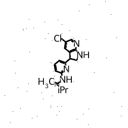 CC(C)[C@@H](C)Nc1cccc(C2CNc3ncc(Cl)cc32)n1